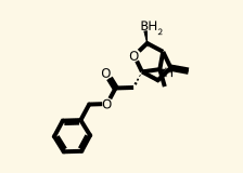 B[C@@H]1O[C@]2(CC(=O)OCc3ccccc3)CC(=C)C1[C@@H]2C